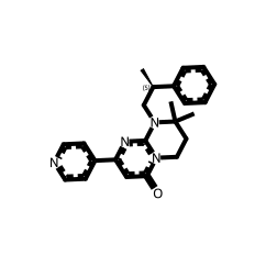 C[C@H](CN1c2nc(-c3ccncc3)cc(=O)n2CCC1(C)C)c1ccccc1